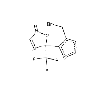 FC(F)(F)C1(c2sccc2CBr)N=CNO1